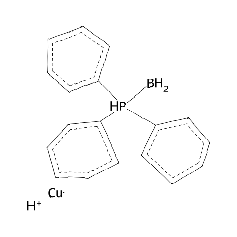 B[PH](c1ccccc1)(c1ccccc1)c1ccccc1.[Cu].[H+]